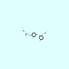 CCCC[C@@](CO)(CCc1ccc(Sc2cc(C)ccc2OC(=O)OC(C)(C)C)cc1Cl)NC(=O)OC(C)(C)C